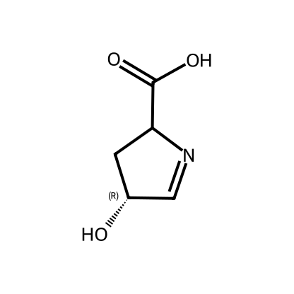 O=C(O)C1C[C@@H](O)C=N1